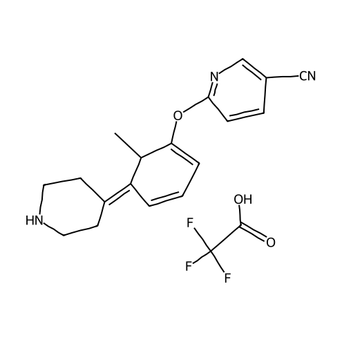 CC1C(Oc2ccc(C#N)cn2)=CC=CC1=C1CCNCC1.O=C(O)C(F)(F)F